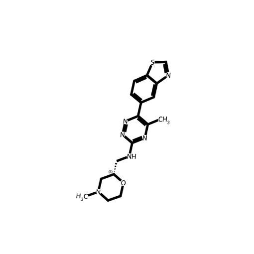 Cc1nc(NC[C@H]2CN(C)CCO2)nnc1-c1ccc2scnc2c1